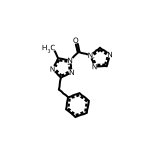 Cc1nc(Cc2ccccc2)nn1C(=O)n1cncn1